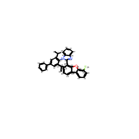 CC(C)c1cc(-c2ccccc2)cc(C(C)C)c1-n1c(-c2cccc3c2oc2c(F)cccc23)nc2ccccc21